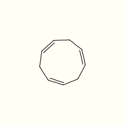 C1=CCC=CCC=CC1